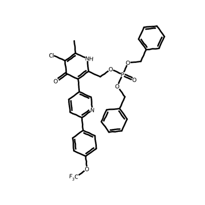 Cc1[nH]c(COP(=O)(OCc2ccccc2)OCc2ccccc2)c(-c2ccc(-c3ccc(OC(F)(F)F)cc3)nc2)c(=O)c1Cl